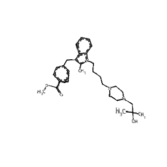 COC(=O)c1ccc(Cc2c(C)n(CCCCN3CCN(CC(C)(C)O)CC3)c3ccccc23)cc1